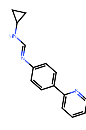 C(=N\c1ccc(-c2ccccn2)cc1)/NC1CC1